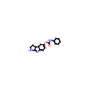 O=C(Nc1ccccc1)OC1=CC=C2N=C3NCCC3C2C1